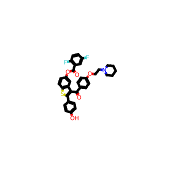 O=C(Oc1ccc2sc(-c3ccc(O)cc3)c(C(=O)c3ccc(OCCN4CCCCC4)cc3)c2c1)c1cc(F)ccc1F